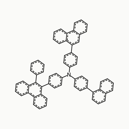 c1ccc(-c2c(-c3ccc(N(c4ccc(-c5cccc6ccccc56)cc4)c4ccc(-c5cc6ccccc6c6ccccc56)cc4)cc3)c3ccccc3c3ccccc23)cc1